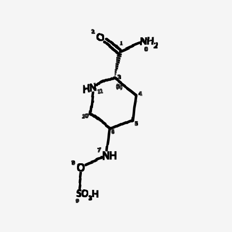 NC(=O)[C@@H]1CCC(NOS(=O)(=O)O)CN1